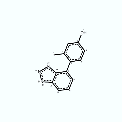 Cc1cc(O)ccc1-c1cccc2[nH]nnc12